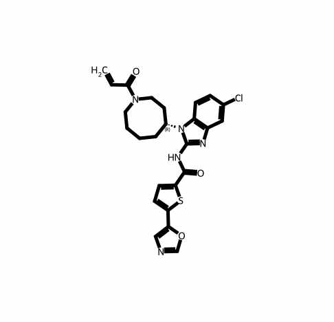 C=CC(=O)N1CCCC[C@@H](n2c(NC(=O)c3ccc(-c4cnco4)s3)nc3cc(Cl)ccc32)CC1